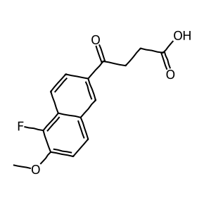 COc1ccc2cc(C(=O)CCC(=O)O)ccc2c1F